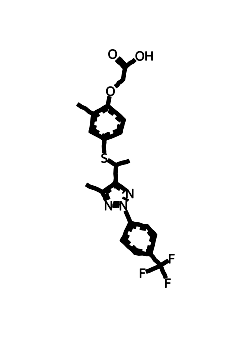 Cc1cc(SC(C)c2nn(-c3ccc(C(F)(F)F)cc3)nc2C)ccc1OCC(=O)O